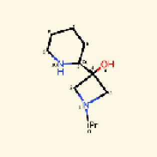 CC(C)N1CC(O)([C@@H]2CCCCN2)C1